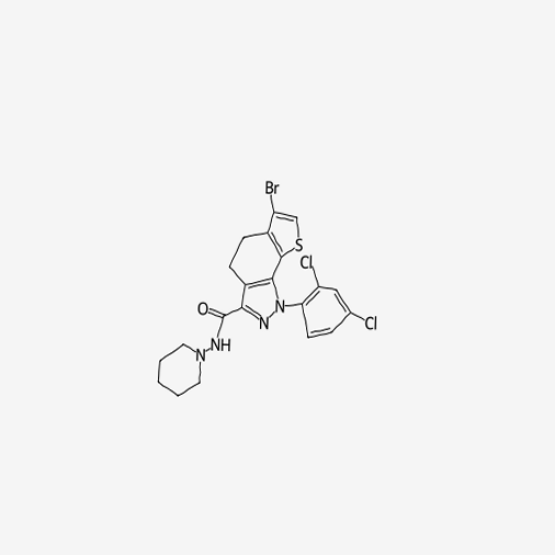 O=C(NN1CCCCC1)c1nn(-c2ccc(Cl)cc2Cl)c2c1CCc1c(Br)csc1-2